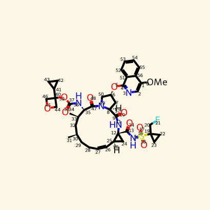 COc1cnc(O[C@@H]2C[C@H]3C(=O)N[C@]4(C(=O)NS(=O)(=O)C5(CF)CC5)C[C@H]4/C=C\CC[C@@H](C)C[C@@H](C)[C@H](NC(=O)OC4(C5CC5)COC4)C(=O)N3C2)c2ccccc12